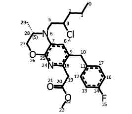 CCCC(Cl)CN1c2cc(Cc3ccc(F)cc3)c(CC(=O)OC)nc2OC[C@@H]1C